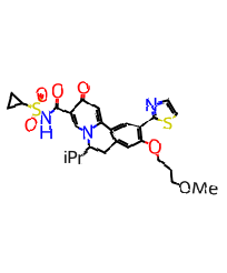 COCCCOc1cc2c(cc1-c1nccs1)-c1cc(=O)c(C(=O)NS(=O)(=O)C3CC3)cn1C(C(C)C)C2